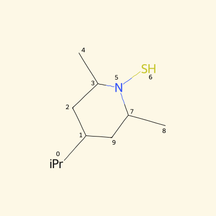 CC(C)C1CC(C)N(S)C(C)C1